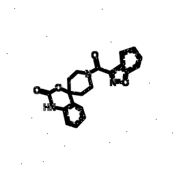 O=C1Nc2ccccc2C2(CCN(C(=O)c3noc4ccccc34)CC2)O1